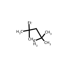 C[CH]C(C)(C)CC(C)(C)C